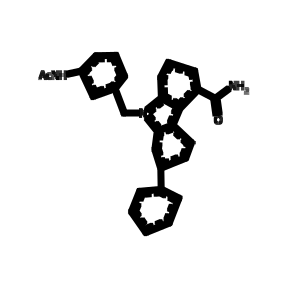 CC(=O)Nc1cccc(Cn2c3cc(-c4ccccc4)c[c]c3c3c(C(N)=O)cccc32)c1